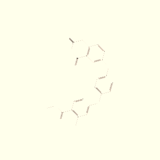 COC(=O)c1ccc(Oc2ccc(Oc3ccc4c(c3)C(=O)OC(=O)C4)cc2)cc1C